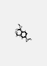 COC(=S)c1ccc(N(C)C)cc1C=O